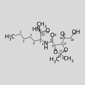 CCCCCC(NC(=O)C1OC(C)(C)OC1C(=O)CO)C(=O)NC